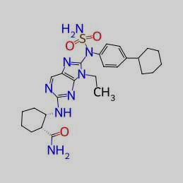 CCn1c(N(c2ccc(C3CCCCC3)cc2)S(N)(=O)=O)nc2cnc(N[C@H]3CCCC[C@H]3C(N)=O)nc21